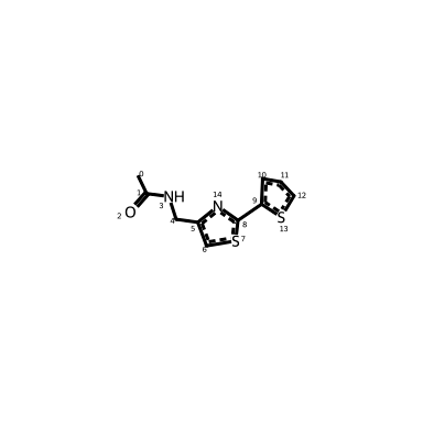 CC(=O)NCc1csc(-c2cccs2)n1